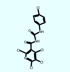 O=C(NC(=O)c1c(Cl)nc(Cl)c(Cl)c1Cl)Nc1ccc(Cl)cc1